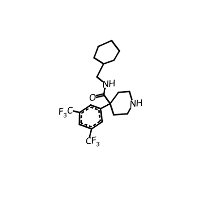 O=C(NCC1CCCCC1)C1(c2cc(C(F)(F)F)cc(C(F)(F)F)c2)CCNCC1